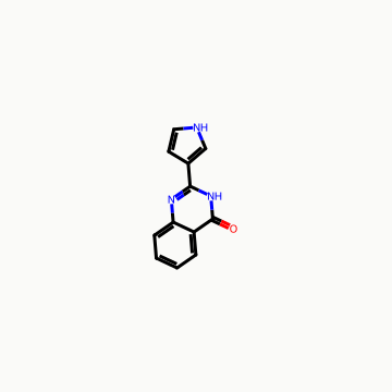 O=c1[nH]c(-c2cc[nH]c2)nc2ccccc12